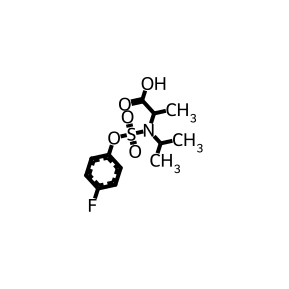 CC(C)N(C(C)C(=O)O)S(=O)(=O)Oc1ccc(F)cc1